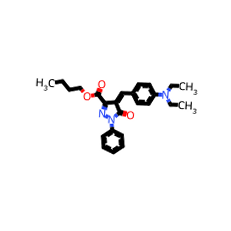 CCCCOC(=O)C1=NN(c2ccccc2)C(=O)/C1=C\c1ccc(N(CC)CC)cc1